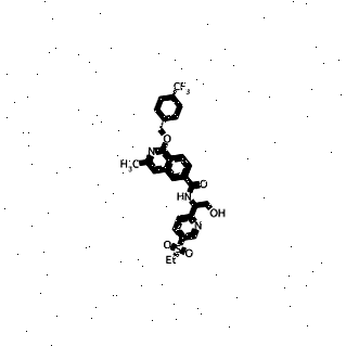 CCS(=O)(=O)c1ccc(C(CO)NC(=O)c2ccc3c(OC[C@H]4CC[C@H](C(F)(F)F)CC4)nc(C)cc3c2)nc1